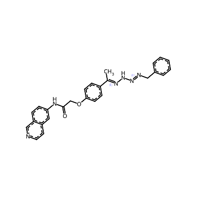 C/C(=N\N/N=N/Cc1ccccc1)c1ccc(OCC(=O)Nc2ccc3cnccc3c2)cc1